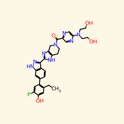 CCc1cc(O)c(F)cc1-c1ccc2c(-c3nc4c([nH]3)CCN(C(=O)c3cnc(N(CCO)CCO)cn3)C4)n[nH]c2c1